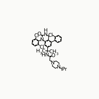 CC(C)N1CCN(CC(=O)NC(C)(C)c2cc(-c3ccccc3Cl)c3c(c2)N(c2c(Cl)cccc2Cl)C(=O)NC3)CC1